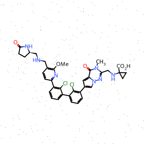 COc1nc(-c2cccc(-c3cccc(-c4cc5c(=O)n(C)c(CNC6(C(=O)O)CC6)nn5c4)c3Cl)c2Cl)ccc1CNC[C@H]1CCC(=O)N1